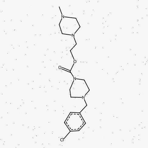 CN1CCN(CCOC(=O)N2CCN(Cc3ccc(Cl)cc3)CC2)CC1